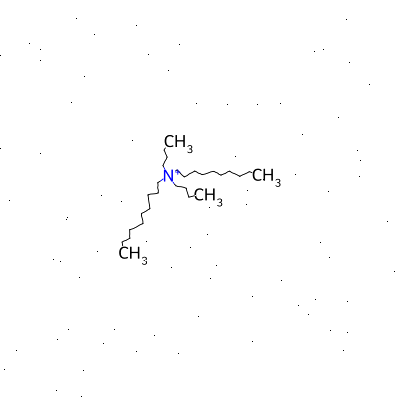 CCCCCCCCCC[N+](CCCC)(CCCC)CCCCCCCCCC